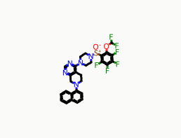 [O-][S+](c1c(F)c(F)c(F)c(F)c1OC(F)F)N1CCN(c2ncnc3c2CCN(c2cccc4ccccc24)C3)CC1